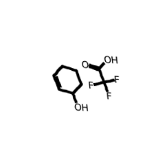 O=C(O)C(F)(F)F.OC1C=CCCC1